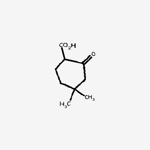 CC1(C)CCC(C(=O)O)C(=O)C1